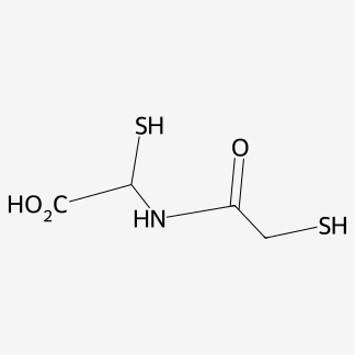 O=C(CS)NC(S)C(=O)O